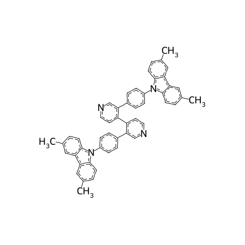 Cc1ccc2c(c1)c1cc(C)ccc1n2-c1ccc(-c2cnccc2-c2ccncc2-c2ccc(-n3c4ccc(C)cc4c4cc(C)ccc43)cc2)cc1